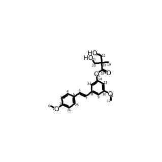 COc1ccc(/C=C/c2cc(OC)cc(OC(=O)C(C)(CO)CO)c2)cc1